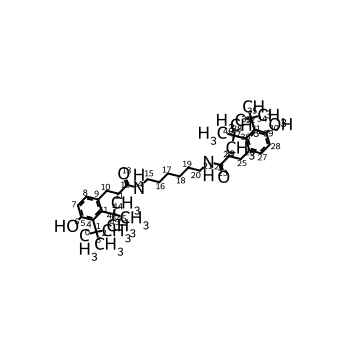 CC(C)(C)c1c(O)ccc(CCC(=O)NCCCCCCNC(=O)CCc2ccc(O)c(C(C)(C)C)c2C(C)(C)C)c1C(C)(C)C